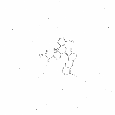 Cc1cccc(OCC(C)C)c1-n1nc2c(c1-c1ccc(NC(N)=O)cc1)CN(Cc1c(F)cccc1C(F)(F)F)CC2